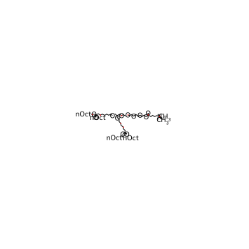 CCCCCCCCC(CCCCCCCC)OC(=O)CCCCCCCOCC(COCCOCCOCCOCCOC(=O)CCCCN(C)C)OCCCCCCCC(=O)OC(CCCCCCCC)CCCCCCCC